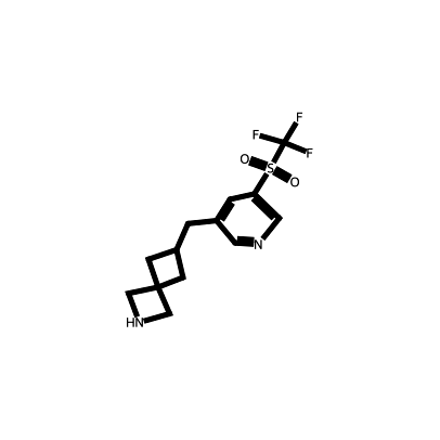 O=S(=O)(c1cncc(CC2CC3(CNC3)C2)c1)C(F)(F)F